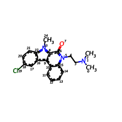 CN(C)CCn1c(=O)c2c(c3ccccc31)c1cc(Cl)ccc1n2C